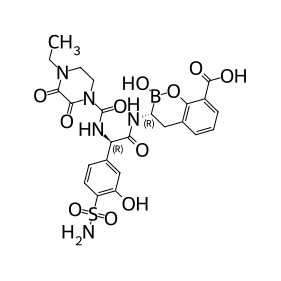 CCN1CCN(C(=O)N[C@@H](C(=O)N[C@H]2Cc3cccc(C(=O)O)c3OB2O)c2ccc(S(N)(=O)=O)c(O)c2)C(=O)C1=O